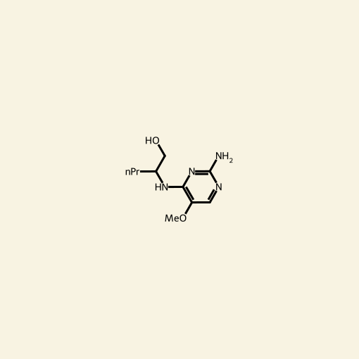 CCCC(CO)Nc1nc(N)ncc1OC